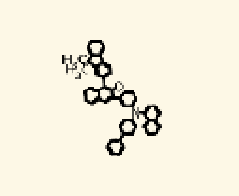 CC1(C)c2ccccc2-c2ccc(-c3c4ccccc4cc4c3oc3ccc(N(c5ccc(-c6ccccc6)cc5)c5cccc6ccccc56)cc34)cc21